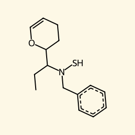 CCC(C1CCC=CO1)N(S)Cc1ccccc1